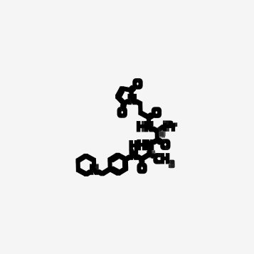 CC(C)[C@H](NC(=O)CCN1C(=O)C=CC1=O)C(=O)N[C@@H](C)C(=O)Nc1ccc(CN2CCCCC2)cc1